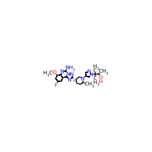 COc1cc(F)cc2c1nc(N)n1nc([C@H]3CC[C@@H](C)N(c4cnn(C(C)(C)[C@H](C)O)c4)C3)nc21